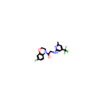 Cc1cc(C(F)(F)F)cc(NCC(=O)N2CCOc3cc(F)ccc32)n1